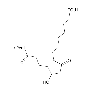 CCCCCC(=O)CCC1C(O)CC(=O)C1CCCCCCC(=O)O